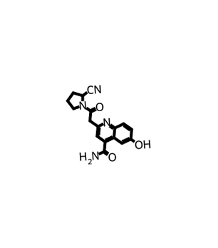 N#CC1CCCN1C(=O)Cc1cc(C(N)=O)c2cc(O)ccc2n1